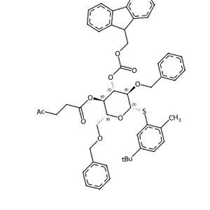 CC(=O)CCC(=O)O[C@H]1[C@H](OC(=O)OCC2c3ccccc3-c3ccccc32)[C@@H](OCc2ccccc2)[C@H](Sc2cc(C(C)(C)C)ccc2C)O[C@@H]1COCc1ccccc1